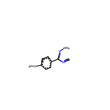 C=N/C(=N\NC)c1ccc(OC)cc1